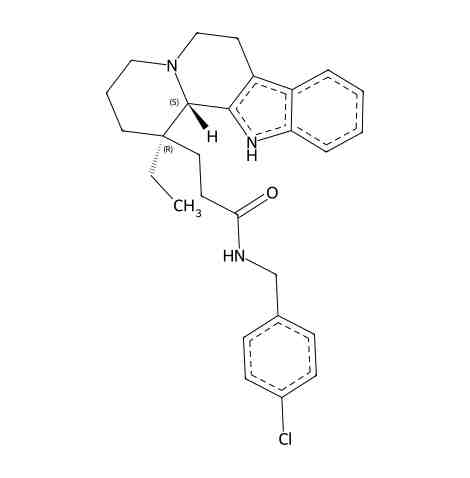 CC[C@]1(CCC(=O)NCc2ccc(Cl)cc2)CCCN2CCc3c([nH]c4ccccc34)[C@@H]21